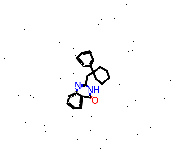 O=c1[nH]c(CC2(c3ccccc3)CCCCC2)nc2ccccc12